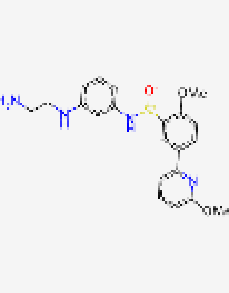 COc1cccc(-c2ccc(OC)c([S+]([O-])Nc3cccc(NCCN)c3)c2)n1